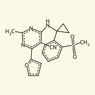 Cc1nc(NC2(c3ccccc3S(C)(=O)=O)CC2)c(C#N)c(-c2ccco2)n1